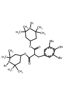 CC(=O)N1C(C)(C)CC(OC(=O)C(Cc2cc(C(C)(C)C)c(O)c(C(C)(C)C)c2)C(=O)OC2CC(C)(C)N(C(C)=O)C(C)(C)C2)CC1(C)C